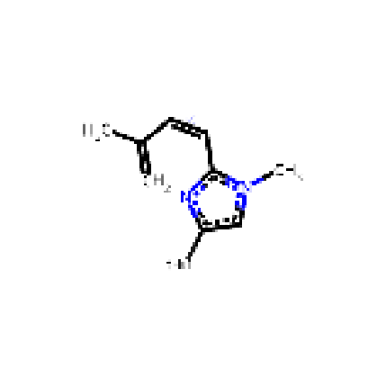 C=C(C)/C=C\c1nc(C(C)(C)C)cn1C